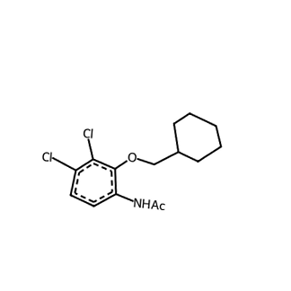 CC(=O)Nc1ccc(Cl)c(Cl)c1OCC1CCCCC1